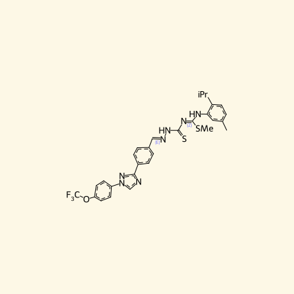 CS/C(=N\C(=S)N/N=C/c1ccc(-c2ncn(-c3ccc(OC(F)(F)F)cc3)n2)cc1)Nc1cc(C)ccc1C(C)C